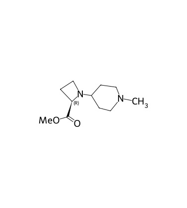 COC(=O)[C@H]1CCN1C1CCN(C)CC1